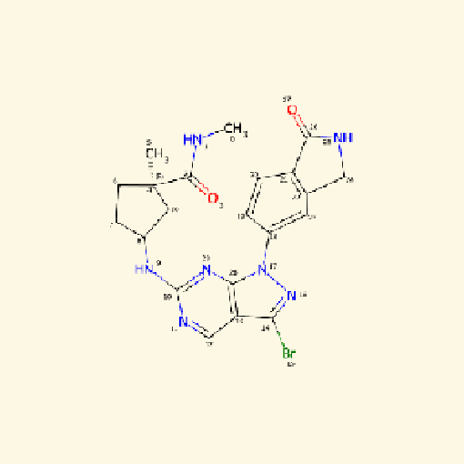 CNC(=O)[C@]1(C)CCC(Nc2ncc3c(Br)nn(-c4ccc5c(c4)CNC5=O)c3n2)C1